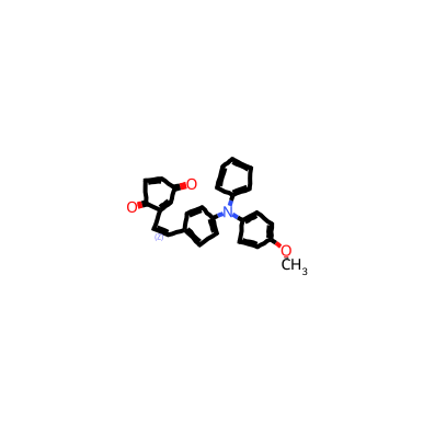 COc1ccc(N(c2ccccc2)c2ccc(/C=C\C3=CC(=O)C=CC3=O)cc2)cc1